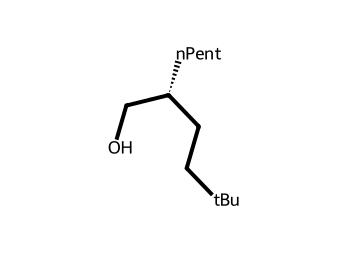 CCCCC[C@@H](CO)CCC(C)(C)C